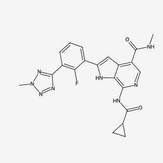 CNC(=O)c1cnc(NC(=O)C2CC2)c2[nH]c(-c3cccc(-c4nnn(C)n4)c3F)cc12